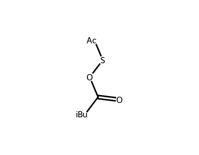 CCC(C)C(=O)OSC(C)=O